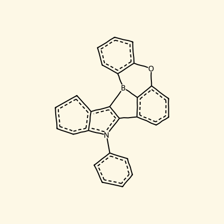 c1ccc(-n2c3c(c4ccccc42)B2c4ccccc4Oc4cccc-3c42)cc1